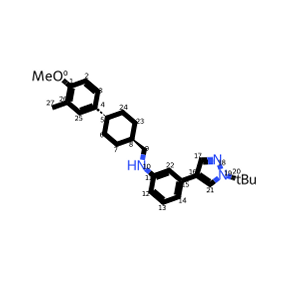 COc1ccc([C@H]2CC[C@H](CNc3cccc(-c4cnn(C(C)(C)C)c4)c3)CC2)cc1C